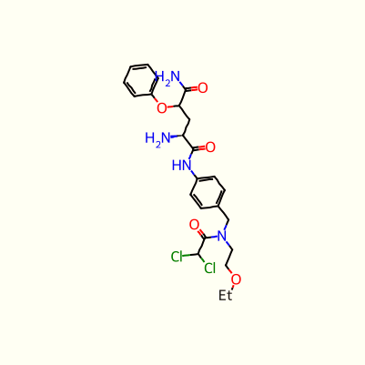 CCOCCN(Cc1ccc(NC(=O)[C@@H](N)CC(Oc2ccccc2)C(N)=O)cc1)C(=O)C(Cl)Cl